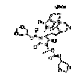 COc1ccc2c(c1)C(=O)N(C[C@]1([C@@H]3Cc4cnccc4O3)C(=O)N(C(C)OC(=O)OC3COCOC3)C(=O)N1C(=O)OC1COCOC1)C2